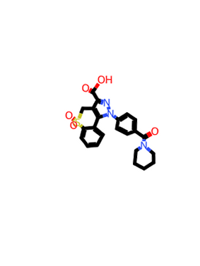 O=C(O)c1nn(-c2ccc(C(=O)N3CCCCC3)cc2)c2c1CS(=O)(=O)c1ccccc1-2